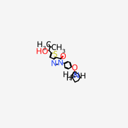 CC(C)C(O)c1cc2ncn(-c3ccc(O[C@H]4C[C@H]5CC[C@@H](C4)N5C)cc3)c(=O)c2s1